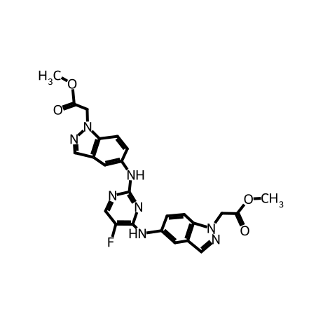 COC(=O)Cn1ncc2cc(Nc3ncc(F)c(Nc4ccc5c(cnn5CC(=O)OC)c4)n3)ccc21